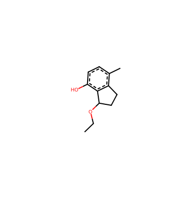 CCOC1CCc2c(C)ccc(O)c21